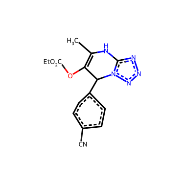 CCOC(=O)OC1=C(C)Nc2nnnn2C1c1ccc(C#N)cc1